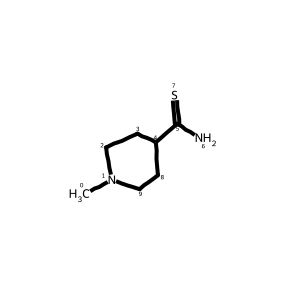 CN1CCC(C(N)=S)CC1